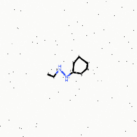 CCNNC1CCCCC1